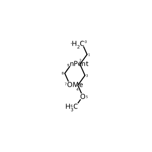 [CH2]CCCCOC.[CH2]OCCCCCC